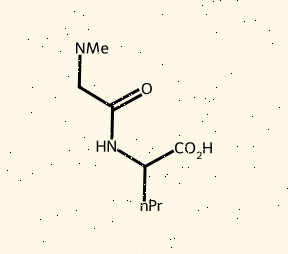 CCCC(NC(=O)CNC)C(=O)O